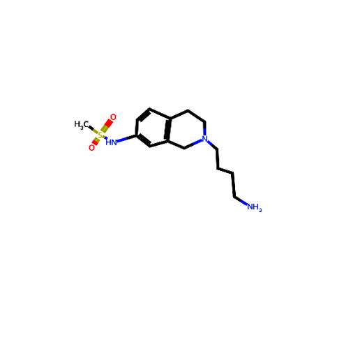 CS(=O)(=O)Nc1ccc2c(c1)CN(CCCCN)CC2